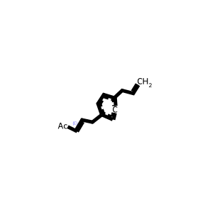 C=CCc1ccc(C/C=C/C(C)=O)cc1